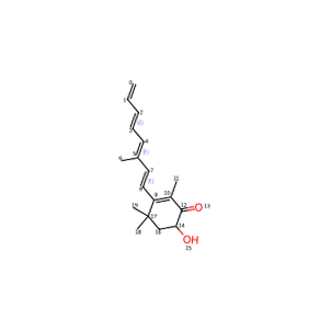 C=C/C=C/C=C(C)/C=C/C1=C(C)C(=O)C(O)CC1(C)C